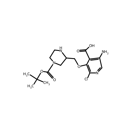 CC(C)(C)OC(=O)N1CCNC(COc2c(Cl)ncc(N)c2C(=O)O)C1